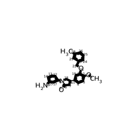 COc1ccc([C@H]2CC(=O)N(c3cccc(N)c3)C2)cc1OCc1cccc(C)c1